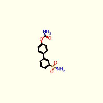 NC(=O)Oc1ccc(-c2cccc(S(N)(=O)=O)c2)cc1